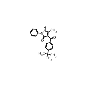 Cc1[nH]n(-c2ccccc2)c(=O)c1C(=O)c1ccc(C(C)(C)C)cc1